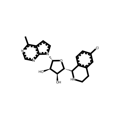 Cc1ncnc2c1ccn2[C@@H]1O[C@H](C2NCCc3cc(Cl)ccc32)[C@@H](O)[C@H]1O